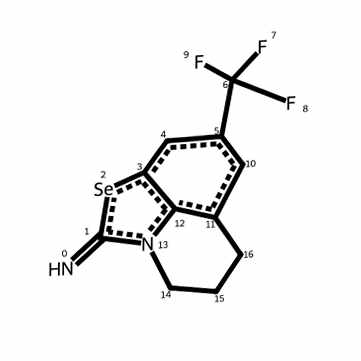 N=c1[se]c2cc(C(F)(F)F)cc3c2n1CCC3